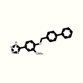 COc1cc(-c2nnn[nH]2)ccc1OCc1ccc(-c2ccccc2)cc1